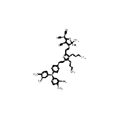 CCCCc1c(/C=C/C2=C(C#N)C(=C(C#N)C#N)OC2(C)C)sc(/C=C/c2ccc(N(c3ccc(C)c(C)c3)c3ccc(C)c(C)c3)cc2)c1CCCC